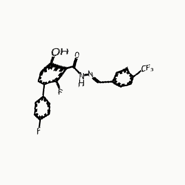 O=C(NN=Cc1ccc(C(F)(F)F)cc1)c1c(O)ccc(-c2ccc(F)cc2)c1F